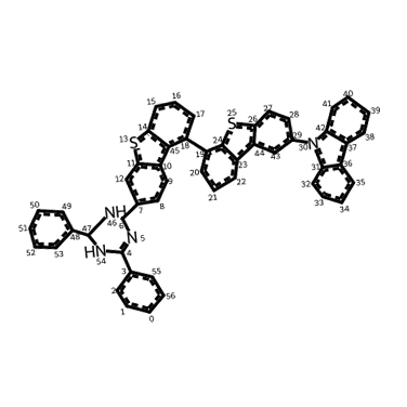 c1ccc(C2=NC(c3ccc4c(c3)sc3cccc(-c5cccc6c5sc5ccc(-n7c8ccccc8c8ccccc87)cc56)c34)NC(c3ccccc3)N2)cc1